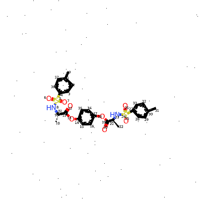 Cc1ccc(S(=O)(=O)N[C@@H](C)C(=O)Oc2ccc(OC(=O)[C@H](C)NS(=O)(=O)c3ccc(C)cc3)cc2)cc1